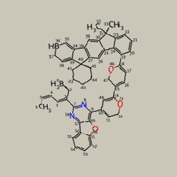 BC/C(=C\C=C/C)c1nc(C2=CCOC(C3=CC=C(c4cccc5c4-c4cc6c(cc4C5(C)C)C4=CBCC=C4C64CCCCC4)OC3)=C2)c2oc3ccccc3c2n1